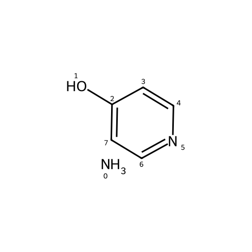 N.Oc1ccncc1